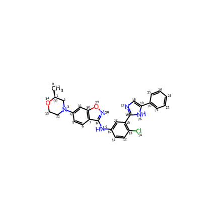 C[C@H]1CN(c2ccc3c(Nc4ccc(Cl)c(-c5ncc(-c6ccccc6)[nH]5)c4)noc3c2)CCO1